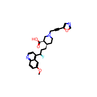 COc1ccc2nccc(C(F)CC[C@@H]3CCN(CC#Cc4cnco4)C[C@@H]3C(=O)O)c2c1